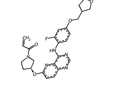 C=CC(=O)N1CC[C@H](Oc2ccc3ncnc(Nc4ccc(OCC5CCOC5)cc4F)c3n2)C1